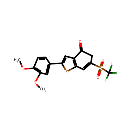 COc1ccc(-c2[c]c3c(s2)C=C(S(=O)(=O)C(F)(F)F)CC3=O)cc1OC